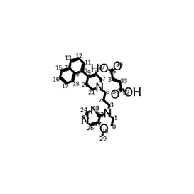 CCN(CCCN1CC=C(c2cccc3ccccc23)CC1)c1ncncc1OC.O=C(O)C=CC(=O)O